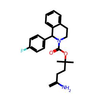 C=C(N)CCC(C)(C)OC(=O)N1CCc2ccccc2C1c1ccc(F)cc1